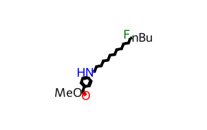 CCCCC(F)CCCCCCCCCCCNc1ccc(C(=O)OC)cc1